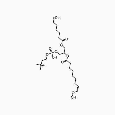 CCCCCCCCCCCCCCCC(=O)OCC(COP(=O)(O)OCC[N+](C)(C)C)OC(=O)CCCCCC/C=C\OO